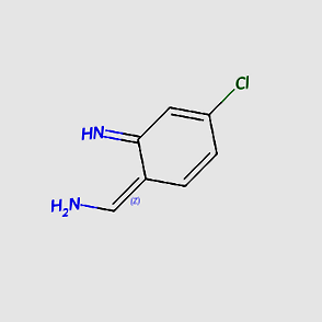 N=C1C=C(Cl)C=C/C1=C/N